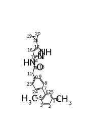 Cc1ccc(C)c(-c2ccc(CC(=O)Nc3cc(C4CC4)[nH]n3)cc2)c1